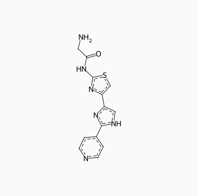 NCC(=O)Nc1nc(-c2c[nH]c(-c3ccncc3)n2)cs1